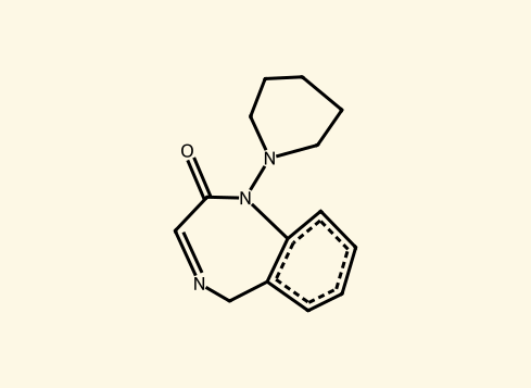 O=C1C=NCc2ccccc2N1N1CCCCC1